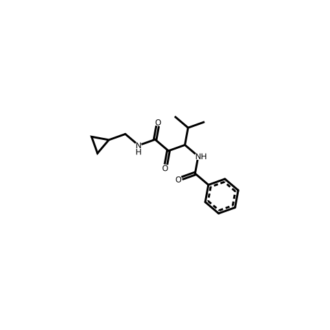 CC(C)C(NC(=O)c1ccccc1)C(=O)C(=O)NCC1CC1